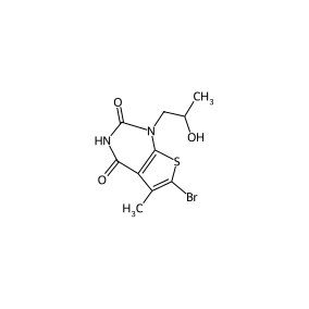 Cc1c(Br)sc2c1c(=O)[nH]c(=O)n2CC(C)O